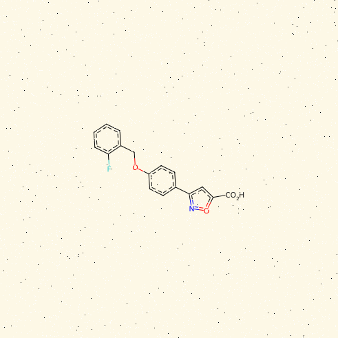 O=C(O)c1cc(-c2ccc(OCc3ccccc3F)cc2)no1